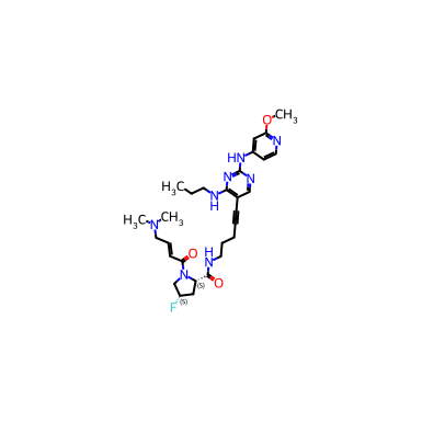 CCCNc1nc(Nc2ccnc(OC)c2)ncc1C#CCCCNC(=O)[C@@H]1C[C@H](F)CN1C(=O)C=CCN(C)C